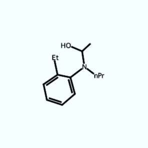 CCCN(c1ccccc1CC)C(C)O